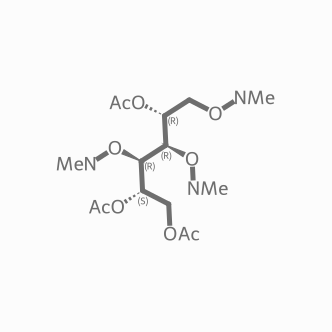 CNOC[C@@H](OC(C)=O)[C@@H](ONC)[C@H](ONC)[C@H](COC(C)=O)OC(C)=O